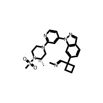 CN=CC1(c2ccc3cnn(-c4ccnc(N5CCN(S(C)(=O)=O)[C@@H](C)C5)c4)c3c2)CCC1